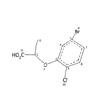 CC(Oc1cc(Br)ccc1Cl)C(=O)O